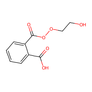 O=C(O)c1ccccc1C(=O)OOCCO